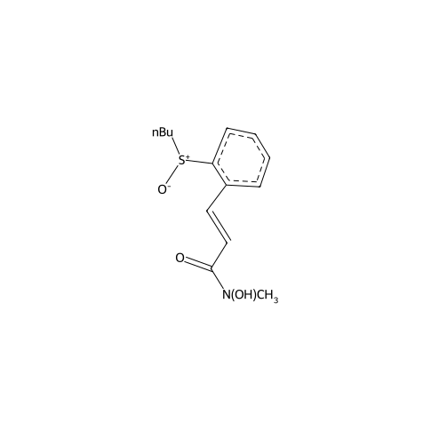 CCCC[S+]([O-])c1ccccc1C=CC(=O)N(C)O